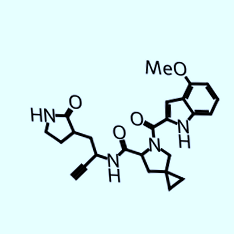 C#CC(CC1CCNC1=O)NC(=O)C1CC2(CC2)CN1C(=O)c1cc2c(OC)cccc2[nH]1